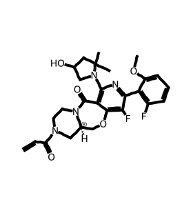 C=CC(=O)N1CCN2C(=O)c3c(N4CC(O)CC4(C)C)nc(-c4c(F)cccc4OC)c(F)c3OC[C@H]2C1